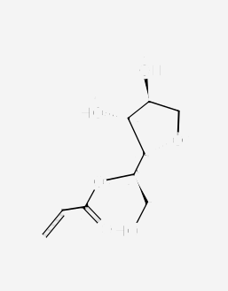 C=CC(=O)O[C@H](CO)[C@H]1OC[C@H](O)[C@H]1O